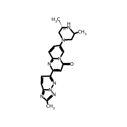 Cc1nc2ccc(-c3cc(=O)n4cc(N5CC(C)N[C@@H](C)C5)ccc4n3)nn2n1